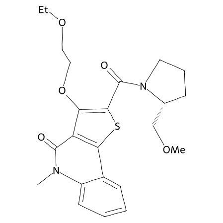 CCOCCOc1c(C(=O)N2CCC[C@@H]2COC)sc2c1c(=O)n(C)c1ccccc21